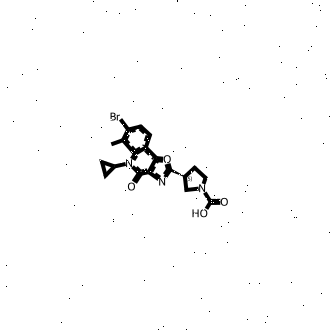 Cc1c(Br)ccc2c3oc([C@H]4CCN(C(=O)O)C4)nc3c(=O)n(C3CC3)c12